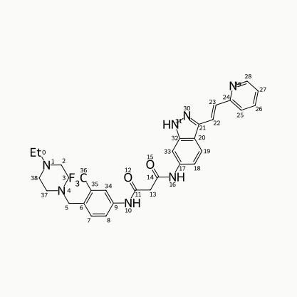 CCN1CCN(Cc2ccc(NC(=O)CC(=O)Nc3ccc4c(C=Cc5ccccn5)n[nH]c4c3)cc2C(F)(F)F)CC1